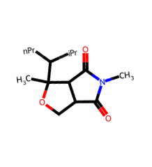 CCCC(C(C)C)C1(C)OCC2C(=O)N(C)C(=O)C21